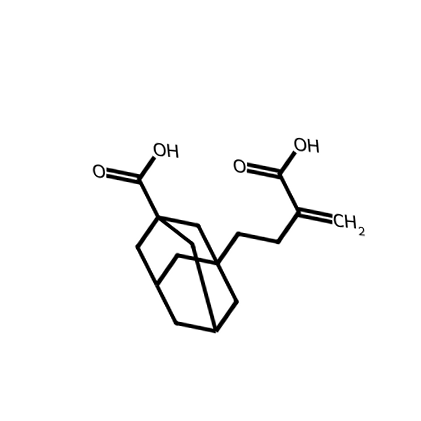 C=C(CCC12CC3CC(C1)CC(C(=O)O)(C3)C2)C(=O)O